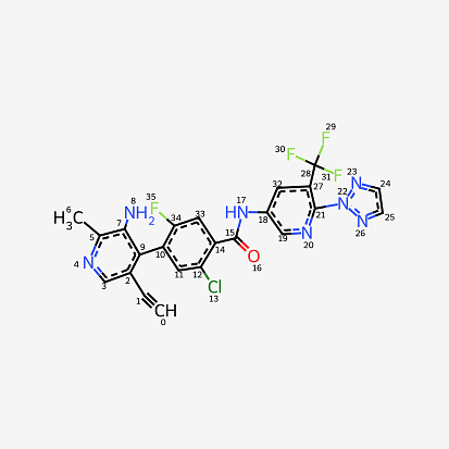 C#Cc1cnc(C)c(N)c1-c1cc(Cl)c(C(=O)Nc2cnc(-n3nccn3)c(C(F)(F)F)c2)cc1F